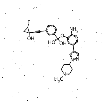 CN1CCC(n2cc(-c3cnc(N)c(OC(O)(O)c4cccc(C#CC5(O)CC5F)c4)c3)cn2)CC1